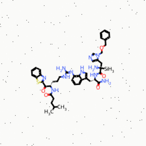 CC(C)CCC(=O)N[C@@H](CCCN/C(N)=N\c1cccc2c(C[C@H](NC(=O)C(N)([SiH3])Cc3cncn3COCc3ccccc3)C(N)=O)c[nH]c12)C(=O)c1nc2ccccc2s1